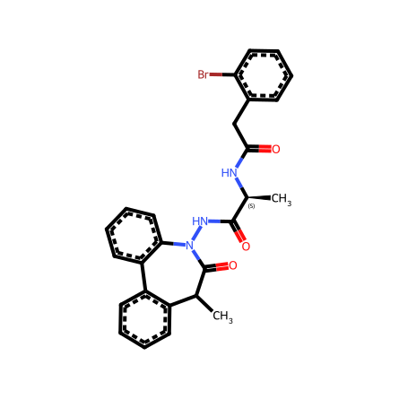 CC1C(=O)N(NC(=O)[C@H](C)NC(=O)Cc2ccccc2Br)c2ccccc2-c2ccccc21